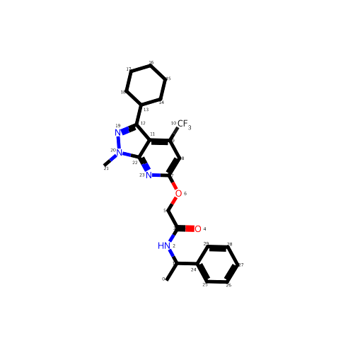 CC(NC(=O)COc1cc(C(F)(F)F)c2c(C3CCCCC3)nn(C)c2n1)c1ccccc1